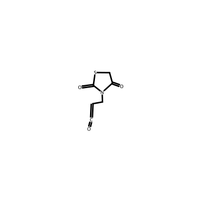 O=C=CCN1C(=O)CSC1=O